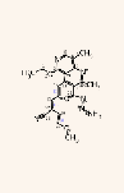 CCOc1ncc(C)c2nc(C)c(C(=O)N=NN)c(/C=C/C=C(C#N)\C=C\OC)c12